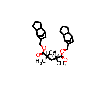 CC(C)(CC(C)(C)C(=O)OCC1CC2CC1C1CCCC21)C(=O)OCC1CC2CC1C1CCCC21